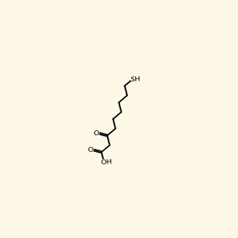 O=C(O)CC(=O)CCCCCCS